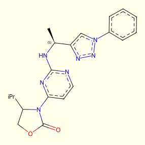 CC(C)C1COC(=O)N1c1ccnc(N[C@@H](C)c2cn(-c3ccccc3)nn2)n1